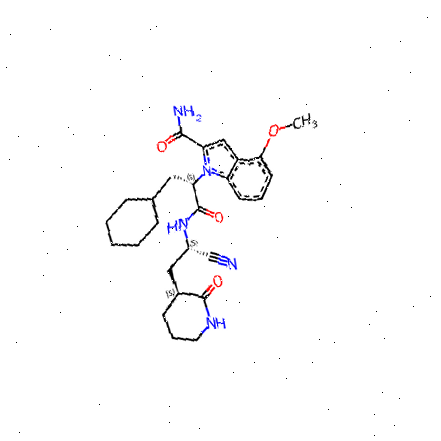 COc1cccc2c1cc(C(N)=O)n2[C@@H](CC1CCCCC1)C(=O)N[C@H](C#N)C[C@@H]1CCCNC1=O